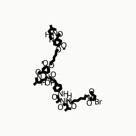 COc1cc2c(cc1OCCCCCOc1cc3c(cc1OC)C(=O)N1C=C(C)C[C@@H]1C(O)N3C(=O)OCc1ccc(NC(=O)C(C)NC(=O)C(NC(=O)CCCCCN3C(=O)C=C(Br)C3=O)C(C)C)cc1)N=C[C@H]1CC(C)=CN1C2=O